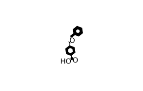 O=C(O)[C@H]1CC[C@H](COCc2ccccc2)CC1